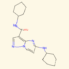 O=C(NC1CCCCC1)c1cnn2ccc(NC3CCCCC3)nc12